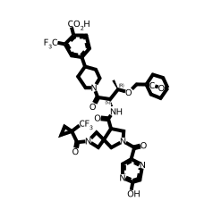 C[C@@H](OCC12CCC(CC1)OC2)[C@H](NC(=O)C1CN(C(=O)c2cnc(O)cn2)CC12CN(C(=O)C1(C(F)(F)F)CC1)C2)C(=O)N1CCC(c2ccc(C(=O)O)c(C(F)(F)F)c2)CC1